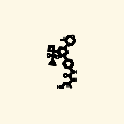 C[C@@H](CO)NC(=O)Nc1ccc(-c2nc(N3CCOC[C@@H]3C)cc(C3(S(=O)(=O)C4CC4)CCC3)n2)cc1